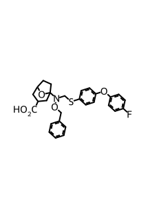 O=C(O)C1CC2CCC(N(CSc3ccc(Oc4ccc(F)cc4)cc3)OCc3ccccc3)(C1)O2